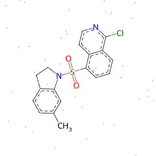 Cc1ccc2c(c1)N(S(=O)(=O)c1cccc3c(Cl)nccc13)CC2